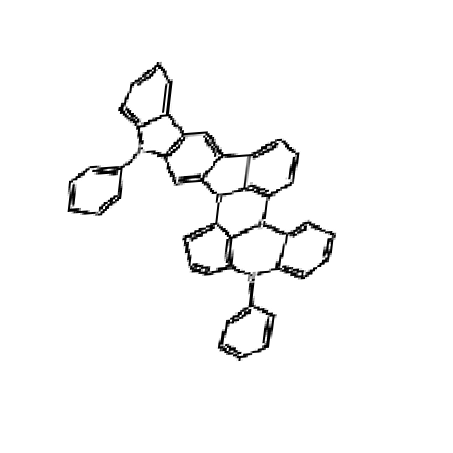 c1ccc(N2c3ccccc3B3c4c2cccc4-n2c4cc5c(cc4c4cccc3c42)c2ccccc2n5-c2ccccc2)cc1